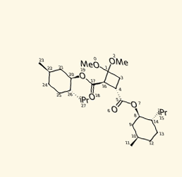 COC1(OC)C[C@H](C(=O)O[C@@H]2C[C@H](C)CC[C@H]2C(C)C)[C@H]1C(=O)O[C@@H]1C[C@H](C)CC[C@H]1C(C)C